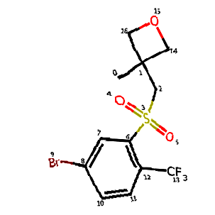 CC1(CS(=O)(=O)c2cc(Br)ccc2C(F)(F)F)COC1